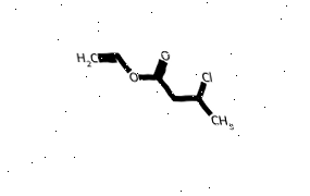 C=COC(=O)CC(C)Cl